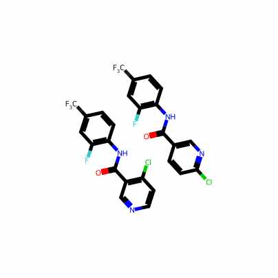 O=C(Nc1ccc(C(F)(F)F)cc1F)c1ccc(Cl)nc1.O=C(Nc1ccc(C(F)(F)F)cc1F)c1cnccc1Cl